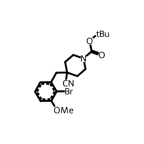 COc1cccc(CC2(C#N)CCN(C(=O)OC(C)(C)C)CC2)c1Br